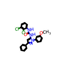 COc1cccc(-n2nc(-c3ccccc3)cc2NC(=O)Nc2cccc(Cl)c2Cl)c1